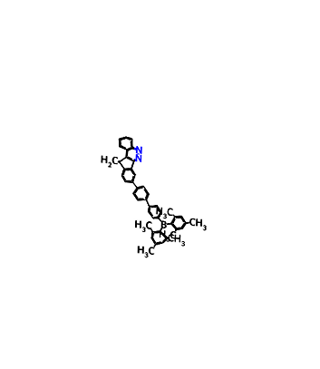 C=C1c2ccc(-c3ccc(-c4ccc(B(c5c(C)cc(C)cc5C)c5c(C)cc(C)cc5C)cc4)cc3)cc2-c2nnc3ccccc3c21